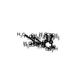 CCCCCCCCCCN(CCS(=O)(=O)N[C@@H](CCCCNC(=O)OC(C)(C)C)C(=O)N(C)[C@@H]1C(=O)N[C@@H](C)C(=O)N[C@H](C(=O)O)Cc2ccc(OC(=O)OC(C)(C)C)c(c2)-c2cc1ccc2OC(=O)OC(C)(C)C)C(=O)OC(C)(C)C